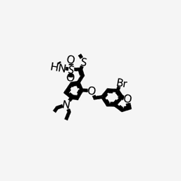 CCN(CC)c1ccc(C=C(SC)S(=O)(=O)NC)c(OCc2cc(Br)c3occc3c2)c1